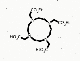 CCOC(=O)CN1CCN(CC(=O)O)CCN(CC(=O)OCC)CCN(CC(=O)OCC)CC1